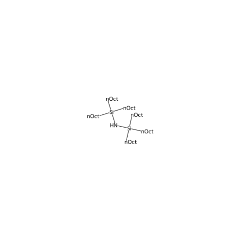 CCCCCCCC[Si](CCCCCCCC)(CCCCCCCC)N[Si](CCCCCCCC)(CCCCCCCC)CCCCCCCC